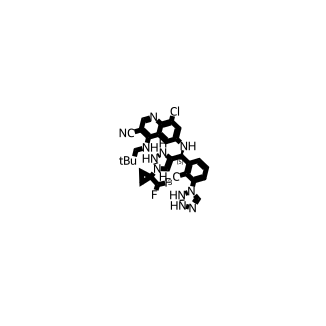 Cc1c([C@H](Nc2cc(Cl)c3ncc(C#N)c(NCC(C)(C)C)c3c2)C2=CN(C3(C(F)F)CC3)NN2)cccc1N1C=NNN1